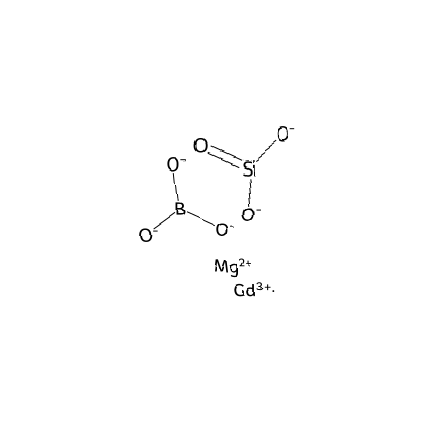 O=[Si]([O-])[O-].[Gd+3].[Mg+2].[O-]B([O-])[O-]